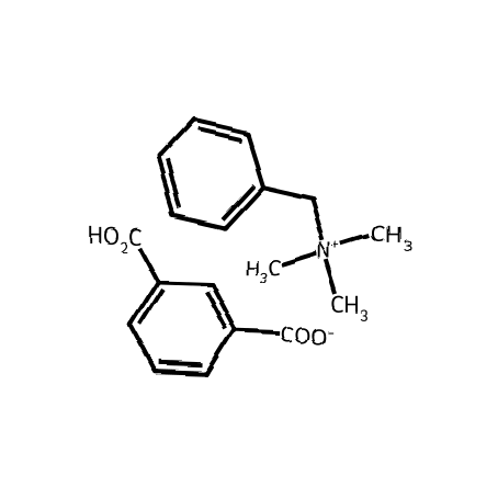 C[N+](C)(C)Cc1ccccc1.O=C([O-])c1cccc(C(=O)O)c1